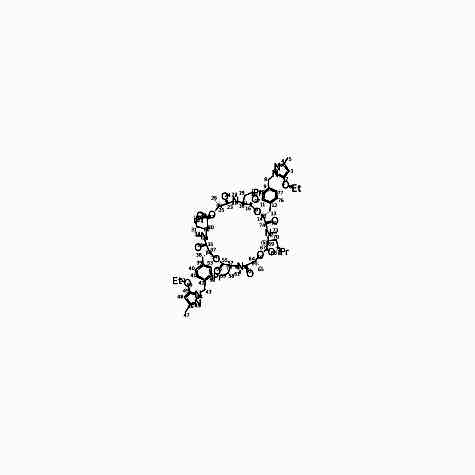 CCOc1cc(C)nn1Cc1ccc(C[C@H]2OC(=O)[C@H](CC(C)C)N(C)C(=O)[C@@H](C)OC(=O)[C@H](CC(C)C)N(C)C(=O)[C@@H](Cc3ccc(Cn4nc(C)cc4OCC)cc3)OC(=O)[C@H](CC(C)C)N(C)C(=O)[C@@H](C)OC(=O)[C@H](CC(C)C)N(C)C2=O)cc1